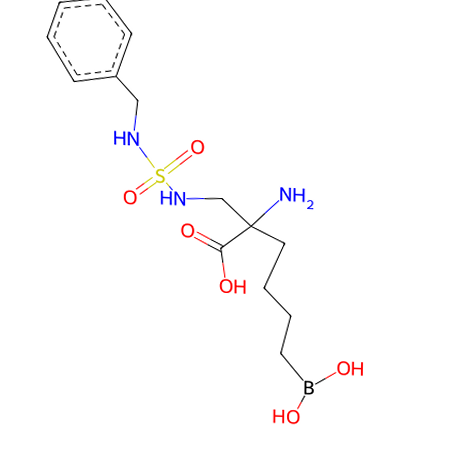 NC(CCCCB(O)O)(CNS(=O)(=O)NCc1ccccc1)C(=O)O